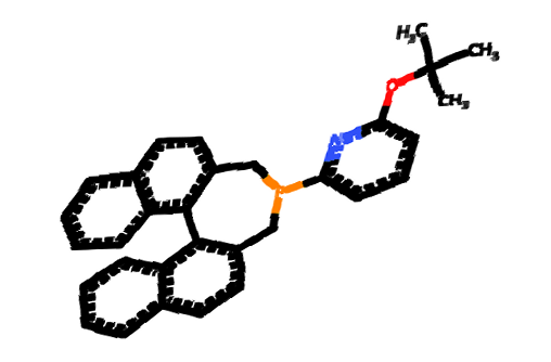 CC(C)(C)Oc1cccc(P2Cc3ccc4ccccc4c3-c3c(ccc4ccccc34)C2)n1